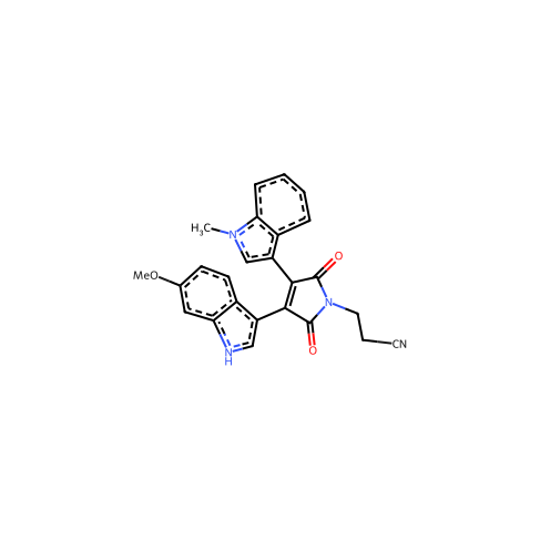 COc1ccc2c(C3=C(c4cn(C)c5ccccc45)C(=O)N(CCC#N)C3=O)c[nH]c2c1